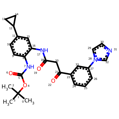 CC(C)(C)OC(=O)Nc1ccc(C2CC2)cc1NC(=O)CC(=O)c1cccc(-n2ccnc2)c1